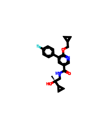 C[C@](O)(CNC(=O)c1cnc(OCC2CC2)c(-c2ccc(F)cc2)c1)C1CC1